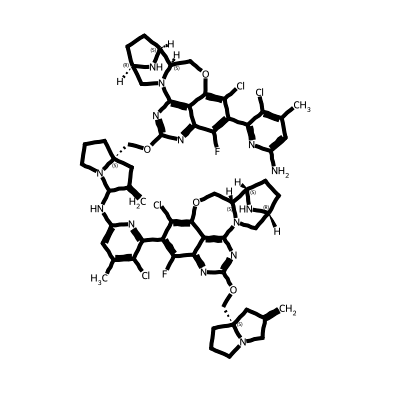 C=C1CN2CCC[C@@]2(COc2nc3c4c(c(Cl)c(-c5nc(NC6C(=C)C[C@]7(COc8nc9c%10c(c(Cl)c(-c%11nc(N)cc(C)c%11Cl)c(F)c%10n8)OC[C@@H]8[C@@H]%10CC[C@H](CN98)N%10)CCCN67)cc(C)c5Cl)c(F)c4n2)OC[C@@H]2[C@@H]4CC[C@H](CN32)N4)C1